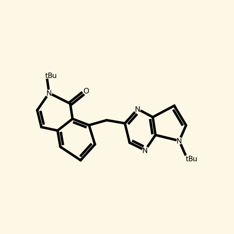 CC(C)(C)n1ccc2cccc(Cc3cnc4c(ccn4C(C)(C)C)n3)c2c1=O